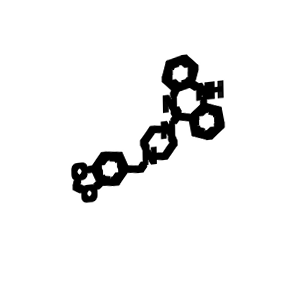 c1ccc2c(c1)N=C(N1CCN(Cc3ccc4c(c3)OCO4)CC1)c1ccccc1N2